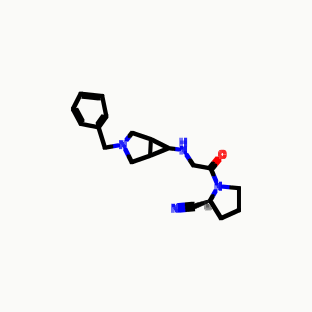 N#C[C@@H]1CCCN1C(=O)CNC1C2CN(Cc3ccccc3)CC21